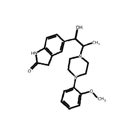 COc1ccccc1N1CCN(C(C)C(O)c2ccc3c(c2)CC(=O)N3)CC1